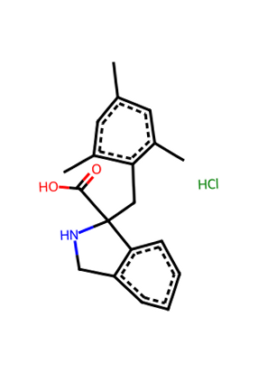 Cc1cc(C)c(CC2(C(=O)O)NCc3ccccc32)c(C)c1.Cl